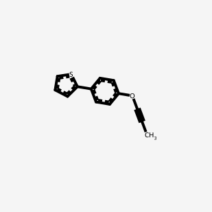 CC#COc1ccc(-c2cccs2)cc1